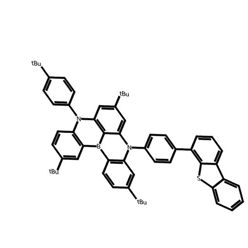 CC(C)(C)c1ccc(N2c3ccc(C(C)(C)C)cc3B3c4ccc(C(C)(C)C)cc4N(c4ccc(-c5cccc6c5sc5ccccc56)cc4)c4cc(C(C)(C)C)cc2c43)cc1